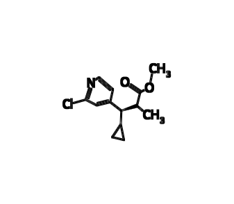 COC(=O)C(C)[C@H](c1ccnc(Cl)c1)C1CC1